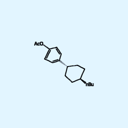 CCCC[C@H]1CC[C@H](c2ccc(OC(C)=O)cc2)CC1